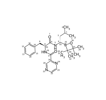 CC(C)C[C@@H](NC(=O)[C@H](Cc1ccccc1)NC(=O)c1cnccn1)B1OC(C)(C)C1(C)C